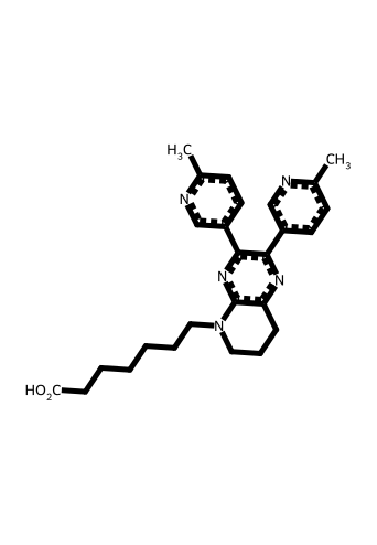 Cc1ccc(-c2nc3c(nc2-c2ccc(C)nc2)N(CCCCCCC(=O)O)CCC3)cn1